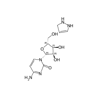 C1=CNNC1.Nc1ccn([C@@H]2O[C@H](CO)[C@@H](O)[C@H]2O)c(=O)n1